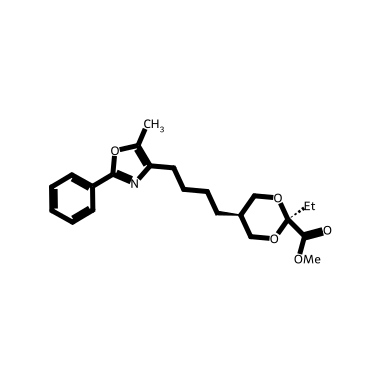 CC[C@]1(C(=O)OC)OC[C@@H](CCCCc2nc(-c3ccccc3)oc2C)CO1